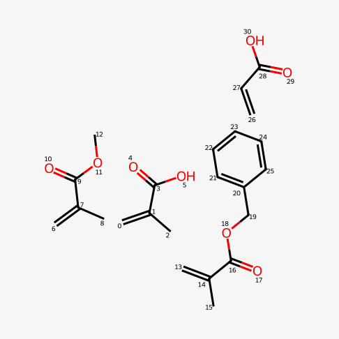 C=C(C)C(=O)O.C=C(C)C(=O)OC.C=C(C)C(=O)OCc1ccccc1.C=CC(=O)O